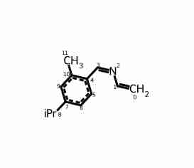 C=C/N=C\c1ccc(C(C)C)cc1C